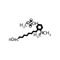 CCCCCCCCCCCCCCCCCCc1ccccc1N(C)C.COS(=O)(=O)O